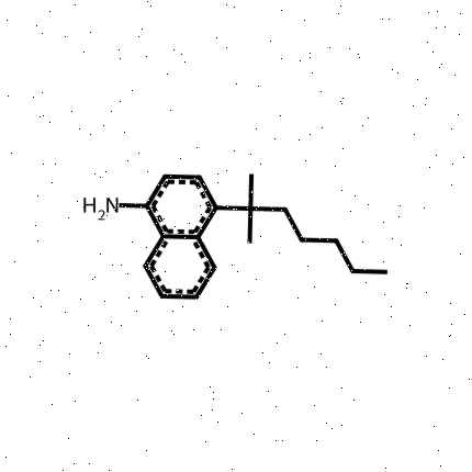 CCCCCC(C)(C)c1ccc(N)c2ccccc12